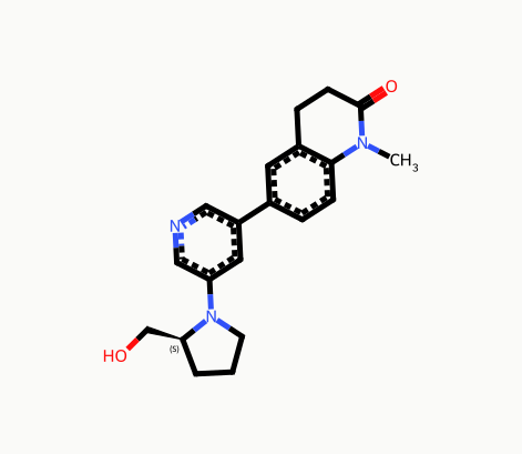 CN1C(=O)CCc2cc(-c3cncc(N4CCC[C@H]4CO)c3)ccc21